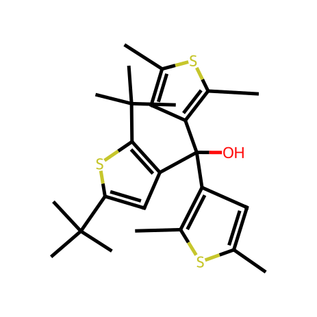 Cc1cc(C(O)(c2cc(C)sc2C)c2cc(C(C)(C)C)sc2C(C)(C)C)c(C)s1